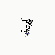 N#Cc1ccc2ncc3nc(CN/C=C(\N=N)C(F)(F)F)[nH]c3c2c1